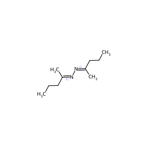 CCC/C(C)=N/N=C(\C)CCC